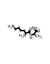 C[C@@H](NC(=O)C(N)CCCCN)C(=O)O